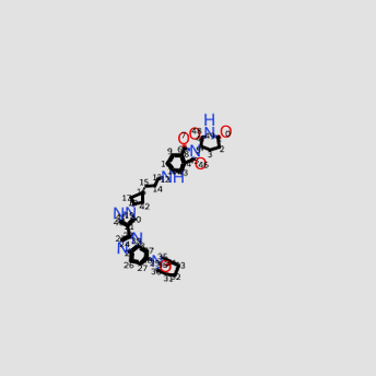 O=C1CCC(N2C(=O)c3ccc(NCCC[C@H]4C[C@H](n5cc(-c6cnc7ccc(N8CC9CCC(C8)O9)cc7n6)cn5)C4)cc3C2=O)C(=O)N1